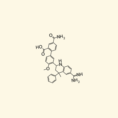 COc1ccc(-c2ccc(C(N)=O)cc2C(=O)O)cc1C1CC(C)(c2ccccc2)c2cc(C(=N)N)ccc2N1